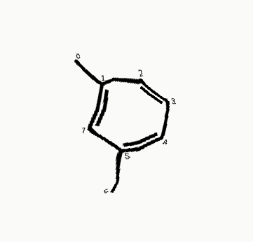 Cc1c[c]cc(C)c1